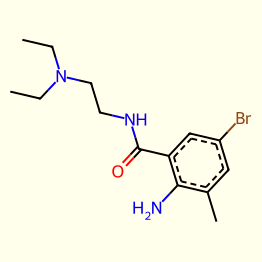 CCN(CC)CCNC(=O)c1cc(Br)cc(C)c1N